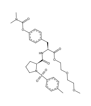 COCCOCCOC(=O)[C@H](Cc1ccc(OC(=O)N(C)C)cc1)NC(=O)[C@@H]1CCCN1S(=O)(=O)c1ccc(C)cc1